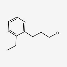 CCc1ccccc1CCC[O]